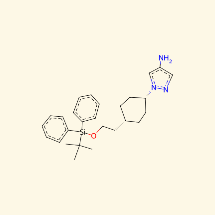 CC(C)(C)[Si](OCC[C@H]1CC[C@@H](n2cc(N)cn2)CC1)(c1ccccc1)c1ccccc1